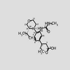 CCC(CC(=O)O)c1ccc(N2CCOC[C@H]2C(C)C)c(NC(=O)NC)c1